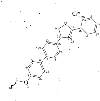 FCOc1ccc(-c2ccc(C3CCC(c4ccccc4Cl)=N3)cc2)cc1